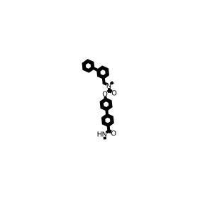 CNC(=O)c1ccc(-c2ccc(OC(=O)N(C)Cc3cccc(-c4ccccc4)c3)cc2)cc1